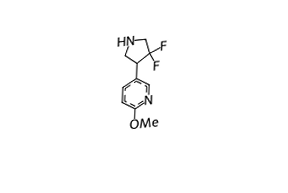 COc1ccc(C2CNCC2(F)F)cn1